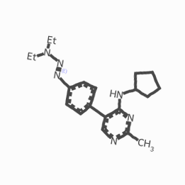 CCN(CC)/N=N/c1ccc(-c2cnc(C)nc2NC2CCCC2)cc1